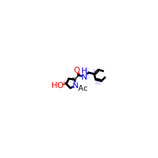 C/C=C\C(=C/C)CNC(=O)[C@@H]1C[C@@H](O)CN1C(C)=O